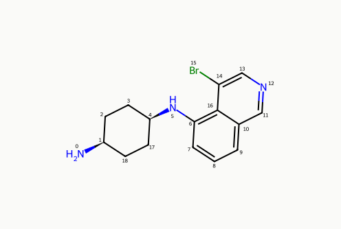 N[C@H]1CC[C@@H](Nc2cccc3cncc(Br)c23)CC1